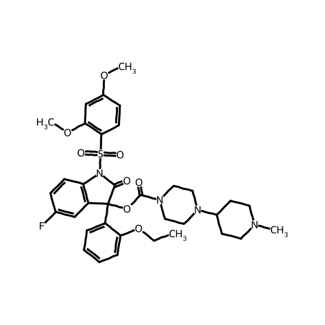 CCOc1ccccc1C1(OC(=O)N2CCN(C3CCN(C)CC3)CC2)C(=O)N(S(=O)(=O)c2ccc(OC)cc2OC)c2ccc(F)cc21